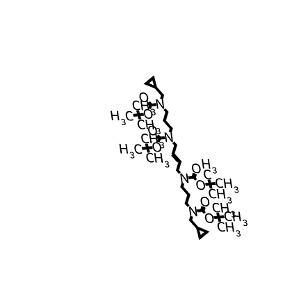 CC(C)(C)OC(=O)N(C/C=C/CN(CCCN(CC1CC1)C(=O)OC(C)(C)C)C(=O)OC(C)(C)C)CCCN(CC1CC1)C(=O)OC(C)(C)C